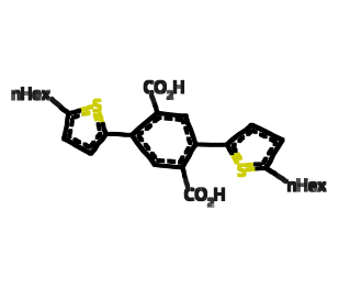 CCCCCCc1ccc(-c2cc(C(=O)O)c(-c3ccc(CCCCCC)s3)cc2C(=O)O)s1